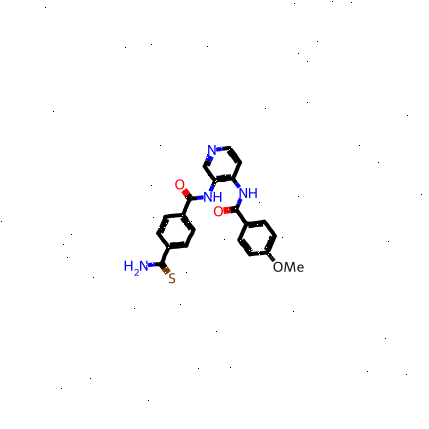 COc1ccc(C(=O)Nc2ccncc2NC(=O)c2ccc(C(N)=S)cc2)cc1